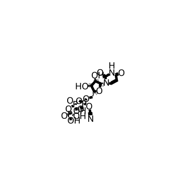 N#COP(=O)(OC[C@H]1O[C@@H](n2ccc(=O)[nH]c2=O)[C@H](O)[C@@H]1O)OP(=O)(O)OP(=O)(O)O